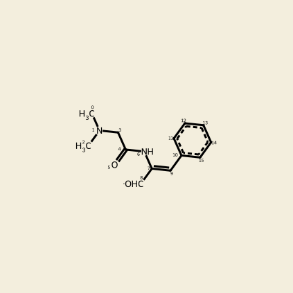 CN(C)CC(=O)NC([C]=O)=Cc1ccccc1